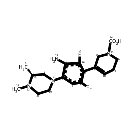 C[C@H]1CN(c2cc(F)c(C3=CCCN(C(=O)O)C3)c(F)c2N)CCN1C